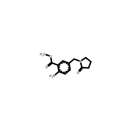 COC(=O)c1cc(CN2CCCC2=O)ccc1N